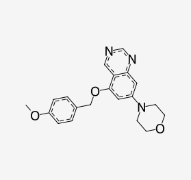 COc1ccc(COc2cc(N3CCOCC3)cc3ncncc23)cc1